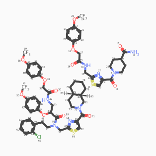 NC(=O)C1CCN(C(=O)c2csc(CNC(=O)COc3ccc(OC(F)(F)F)cc3)n2)CC1.O=C(COc1ccc(OC(F)(F)F)cc1)NCC(Oc1ccc(OC(F)(F)F)cc1)C(=O)N(CCc1ccccc1Cl)Cc1nc(C(=O)N2CC[C@@H]3CCCC[C@@H]3C2)cs1